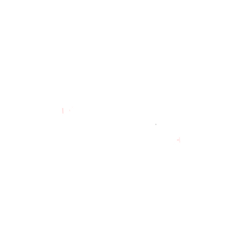 CC(C)(O)C=CCO